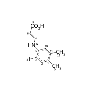 Cc1cc(I)c(NC=CC(=O)O)cc1C